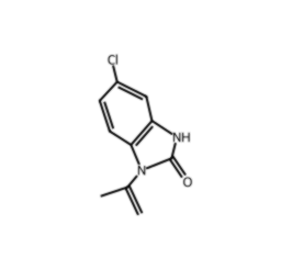 C=C(C)n1c(=O)[nH]c2cc(Cl)ccc21